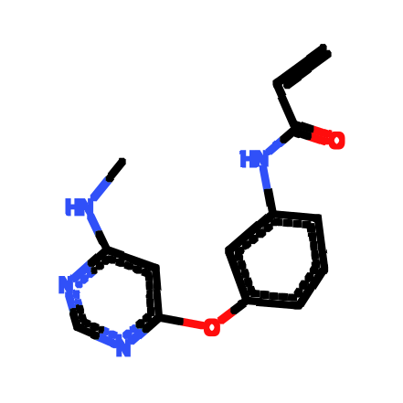 C=CC(=O)Nc1cccc(Oc2cc(NC)ncn2)c1